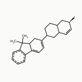 CC1(C)c2ccccc2C2=CC=C(C3CCC4C[C@@H](I)C=CC4C3)CC21